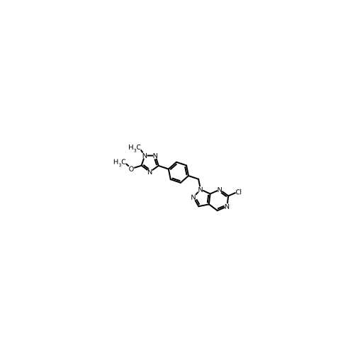 COc1nc(-c2ccc(Cn3ncc4cnc(Cl)nc43)cc2)nn1C